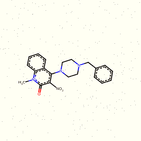 Cn1c(=O)c([N+](=O)[O-])c(N2CCN(Cc3ccccc3)CC2)c2ccccc21